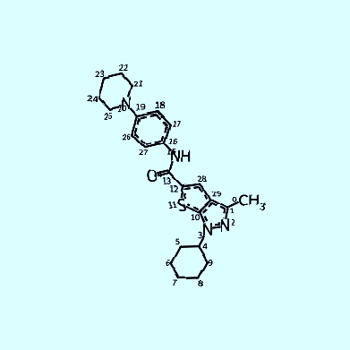 Cc1nn(C2CCCCC2)c2sc(C(=O)Nc3ccc(N4CCCCC4)cc3)cc12